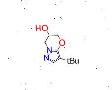 CC(C)(C)c1cnn2c1OCC(O)C2